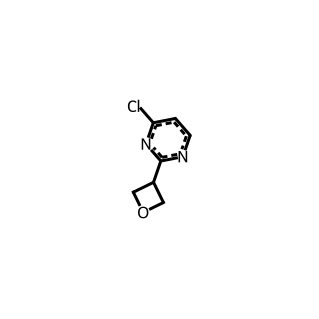 Clc1ccnc(C2COC2)n1